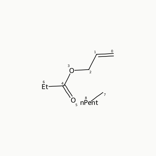 C=CCOC(=O)CC.CCCCCC